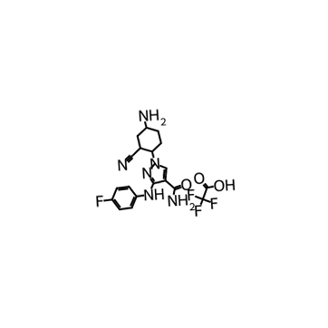 N#CC1CC(N)CCC1n1cc(C(N)=O)c(Nc2ccc(F)cc2)n1.O=C(O)C(F)(F)F